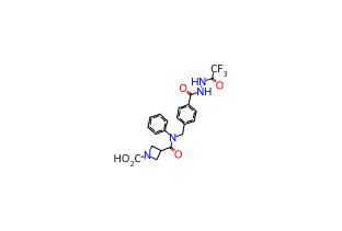 O=C(NNC(=O)C(F)(F)F)c1ccc(CN(C(=O)C2CN(C(=O)O)C2)c2ccccc2)cc1